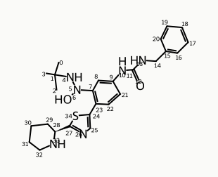 CC(C)(C)NN(O)c1cc(NC(=O)NCc2ccccc2)ccc1-c1cnc([C@@H]2CCCCN2)s1